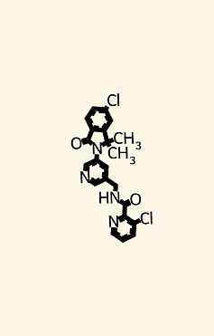 CC1(C)c2cc(Cl)ccc2C(=O)N1c1cncc(CNC(=O)c2ncccc2Cl)c1